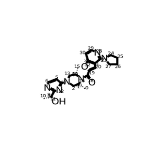 C[C@@H]1CN(c2ccnc([C@@H](C)O)n2)C[C@H](C)N1C(=O)c1cc2c(N3CCCC3)nccc2o1